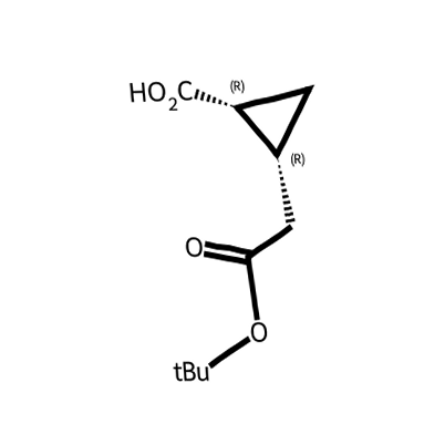 CC(C)(C)OC(=O)C[C@H]1C[C@H]1C(=O)O